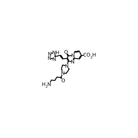 NCCCC(=O)N1CCN(c2nc3cc(C(=O)O)ccn3c(=O)c2C=Cc2nnn[nH]2)CC1